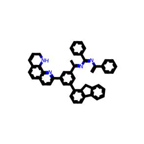 C=C(/N=C(\N=C(/C)c1cc(-c2ccc3ccc4c(c3n2)NCC=C4)cc(-c2cccc3c2Cc2ccccc2-3)c1)c1ccccc1)c1ccccc1